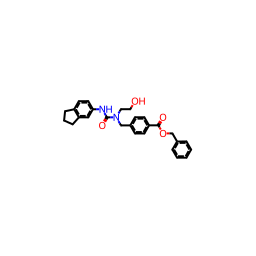 O=C(OCc1ccccc1)c1ccc(CN(CCO)C(=O)Nc2ccc3c(c2)CCC3)cc1